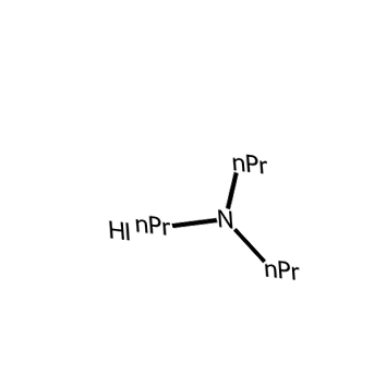 CCCN(CCC)CCC.I